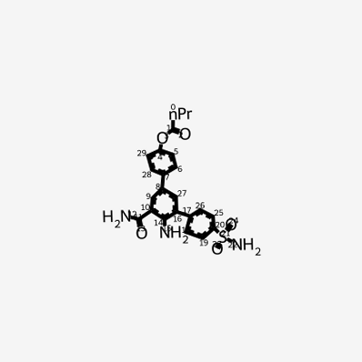 CCCC(=O)Oc1ccc(-c2cc(C(N)=O)c(N)c(-c3ccc(S(N)(=O)=O)cc3)c2)cc1